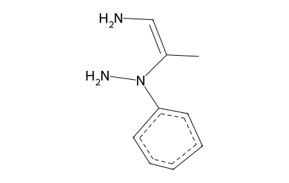 C/C(=C/N)N(N)c1ccccc1